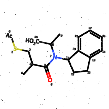 CC(=O)SCC(C)C(=O)N(C(C)C(=O)O)C1CCc2ccccc21